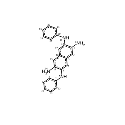 Nc1cc2cc(Nc3ccccc3)c(N)cc2cc1Nc1ccccc1